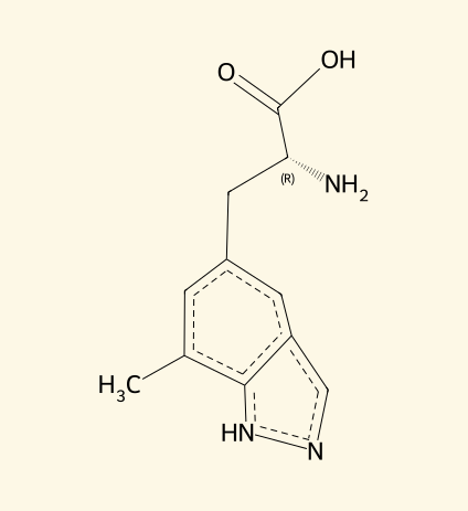 Cc1cc(C[C@@H](N)C(=O)O)cc2cn[nH]c12